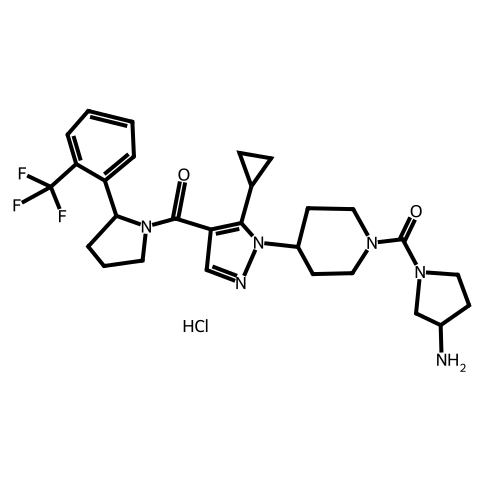 Cl.NC1CCN(C(=O)N2CCC(n3ncc(C(=O)N4CCCC4c4ccccc4C(F)(F)F)c3C3CC3)CC2)C1